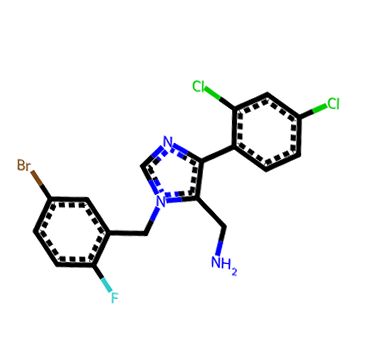 NCc1c(-c2ccc(Cl)cc2Cl)ncn1Cc1cc(Br)ccc1F